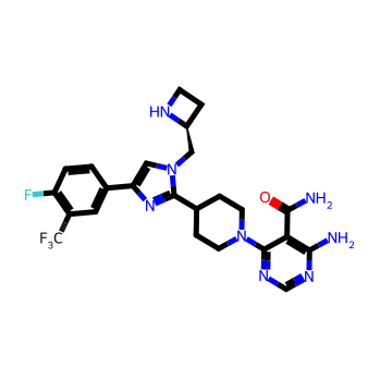 NC(=O)c1c(N)ncnc1N1CCC(c2nc(-c3ccc(F)c(C(F)(F)F)c3)cn2C[C@@H]2CCN2)CC1